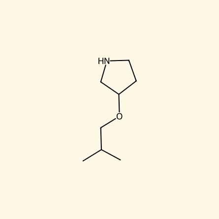 CC(C)COC1CCNC1